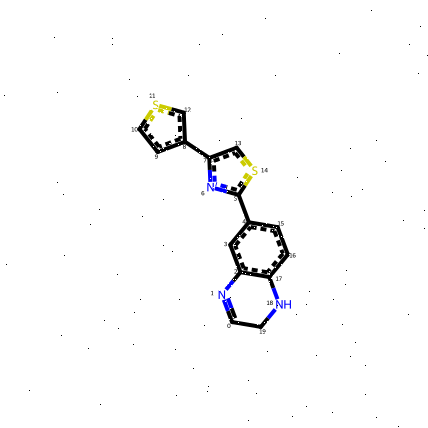 C1=Nc2cc(-c3nc(-c4ccsc4)cs3)ccc2NC1